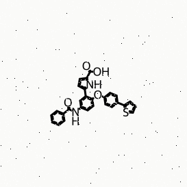 O=C(Nc1ccc(Oc2ccc(-c3cccs3)cc2)c(-c2ccc(C(=O)O)[nH]2)c1)c1ccccc1